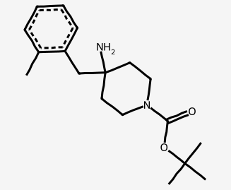 Cc1ccccc1CC1(N)CCN(C(=O)OC(C)(C)C)CC1